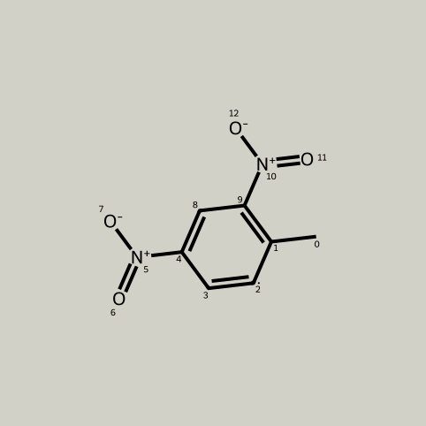 Cc1[c]cc([N+](=O)[O-])cc1[N+](=O)[O-]